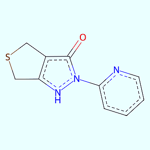 O=c1c2c([nH]n1-c1ccccn1)CSC2